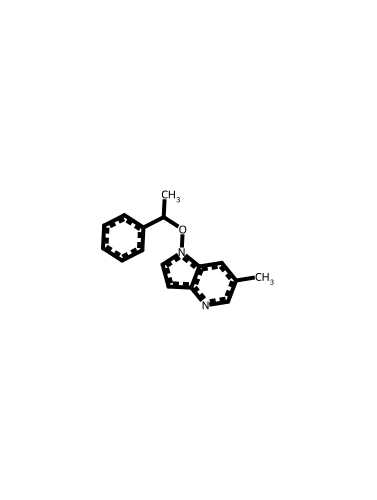 Cc1cnc2ccn(OC(C)c3ccccc3)c2c1